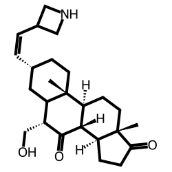 C[C@]12CC[C@@H](/C=C\C3CNC3)CC1[C@@H](CO)C(=O)[C@@H]1[C@@H]2CC[C@]2(C)C(=O)CC[C@@H]12